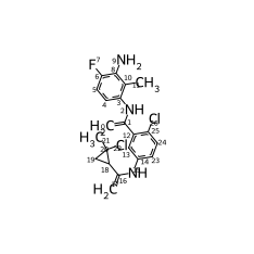 C=C(Nc1ccc(F)c(N)c1C)c1cc(NC(=C)C2CC2(C)Cl)ccc1Cl